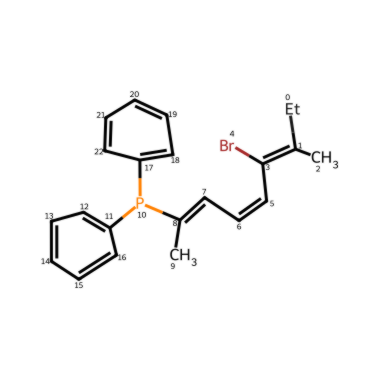 CC/C(C)=C(Br)/C=C\C=C(/C)P(c1ccccc1)c1ccccc1